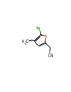 Cc1cc(CC#N)sc1Br